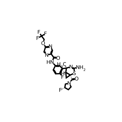 C[C@]1(c2cc(NC(=O)c3cnc(OCC(F)(F)F)cn3)ccc2F)N=C(N)S[C@@]2(C(=O)N3CC[C@H](F)C3)C[C@H]21